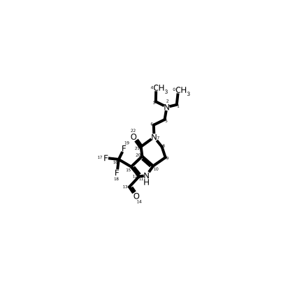 CCN(CC)CCN1CCc2[nH]c(C=O)c(C(F)(F)F)c2C1=O